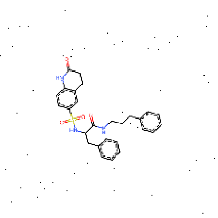 O=C1CCc2cc(S(=O)(=O)NC(Cc3ccccc3)C(=O)NCCCc3ccccc3)ccc2N1